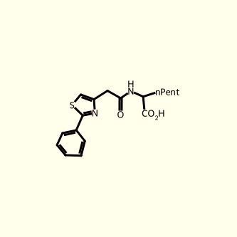 CCCCCC(NC(=O)Cc1csc(-c2ccccc2)n1)C(=O)O